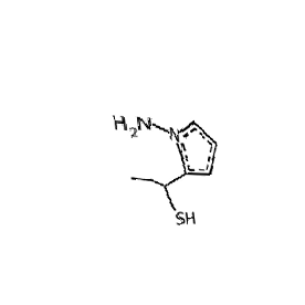 CC(S)c1cccn1N